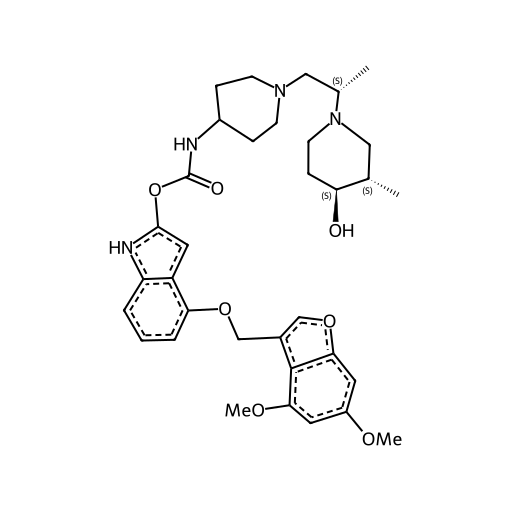 COc1cc(OC)c2c(COc3cccc4[nH]c(OC(=O)NC5CCN(C[C@H](C)N6CC[C@H](O)[C@@H](C)C6)CC5)cc34)coc2c1